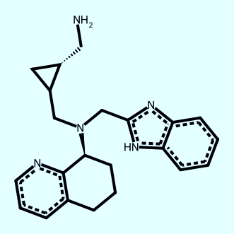 NC[C@H]1CC1CN(Cc1nc2ccccc2[nH]1)[C@H]1CCCc2cccnc21